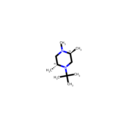 C[C@@H]1CN(C)[C@@H](C)CN1C(C)(C)C